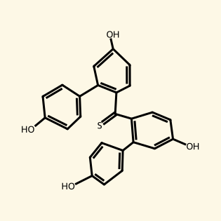 Oc1ccc(-c2cc(O)ccc2C(=S)c2ccc(O)cc2-c2ccc(O)cc2)cc1